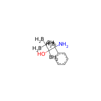 BC(B)(B)C(B)(O)[C@@](B)(N)c1ccccc1